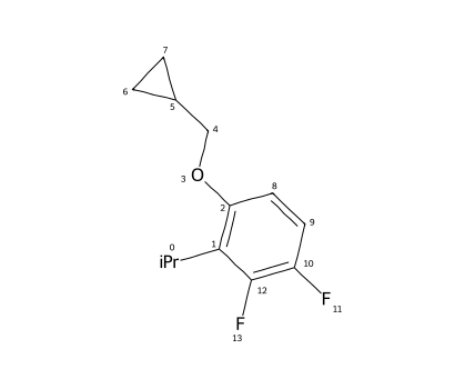 CC(C)c1c(OCC2CC2)ccc(F)c1F